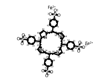 O=S(=O)([O-])c1ccc(-c2c3nc(c(-c4ccc(S(=O)(=O)[O-])cc4)c4ccc([nH]4)c(-c4ccc(S(=O)(=O)[O-])cc4)c4nc(c(-c5ccc(S(=O)(=O)[O-])cc5)c5ccc2[nH]5)C=C4)C=C3)cc1.[Fe+2].[Fe+2]